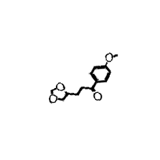 COc1ccc(C(=O)CCC2COCO2)cc1